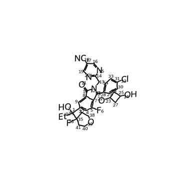 CC[C@@](O)(c1cc(F)c2c(c1)C(=O)N(Cc1ncc(C#N)cn1)[C@@]2(OC1CC(O)C1)c1ccc(Cl)cc1)C1(F)CCOCC1